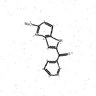 COc1ccc2[nH]c(C(=O)c3ccccc3)cc2n1